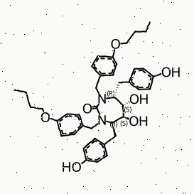 CCCCOc1ccc(CN2C(=O)N(Cc3ccc(OCCCC)cc3)[C@H](Cc3ccc(O)cc3)[C@H](O)[C@@H](O)[C@H]2Cc2ccc(O)cc2)cc1